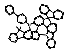 CC1(C)c2ccccc2-c2cccc(N(c3ccc(-c4ccccc4)cc3)c3ccc4c5c3-c3ccccc3-n3c6ccccc6c6ccc(c-5c63)C43c4ccccc4-c4ccccc43)c21